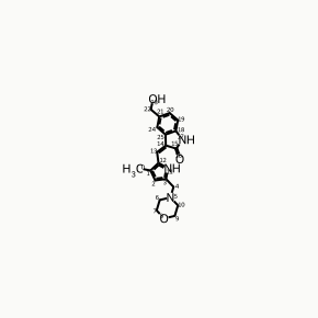 Cc1cc(CN2CCOCC2)[nH]c1C=C1C(=O)Nc2ccc(CO)cc21